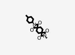 CC1CCC(N2C(=O)C3(CCC4(CC3)C(=O)N(C)C4=O)C2=O)CC1